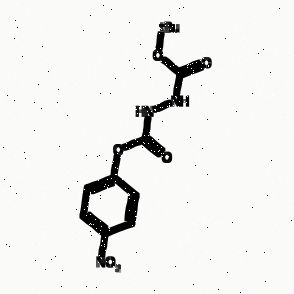 CC(C)(C)OC(=O)NNC(=O)Oc1ccc([N+](=O)[O-])cc1